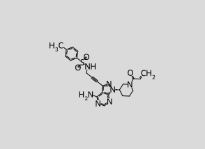 C=CC(=O)N1CCC[C@@H](n2nc(C#CCNS(=O)(=O)c3ccc(C)cc3)c3c(N)ncnc32)C1